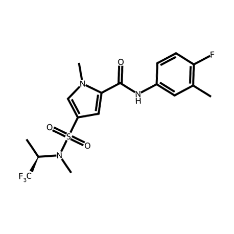 Cc1cc(NC(=O)c2cc(S(=O)(=O)N(C)[C@H](C)C(F)(F)F)cn2C)ccc1F